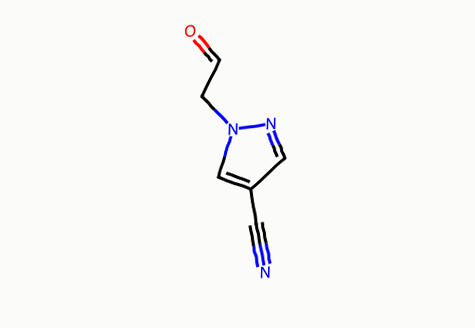 N#Cc1cnn(CC=O)c1